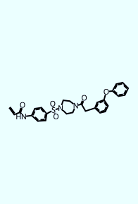 C=CC(=O)Nc1ccc(S(=O)(=O)N2CCN(C(=O)Cc3cccc(Oc4ccccc4)c3)CC2)cc1